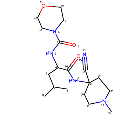 CC(C)CC(NC(=O)N1CCOCC1)C(=O)NC1(C#N)CCN(C)CC1